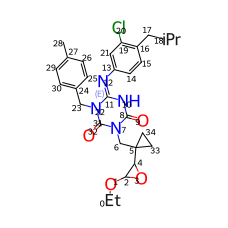 CCOC1OC1C1(Cn2c(=O)[nH]/c(=N\c3ccc(CC(C)C)c(Cl)c3)n(Cc3ccc(C)cc3)c2=O)CC1